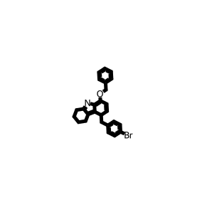 Brc1ccc(CC2C=CC(OCc3ccccc3)=C3N=C4CCCCC4=C32)cc1